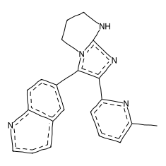 Cc1cccc(-c2nc3n(c2-c2ccc4ncccc4c2)CCCN3)n1